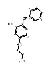 Br.CC[CH2][Mg][c]1ccc(Oc2ccccc2)cc1